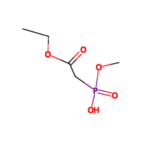 CCOC(=O)CP(=O)(O)OC